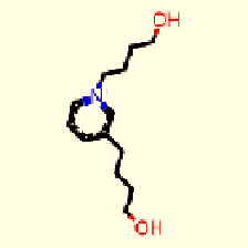 OCCCCc1ccc[n+](CCCCO)c1